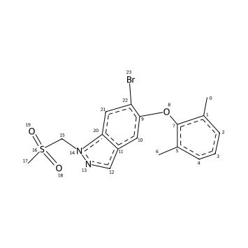 Cc1cccc(C)c1Oc1cc2cnn(CS(C)(=O)=O)c2cc1Br